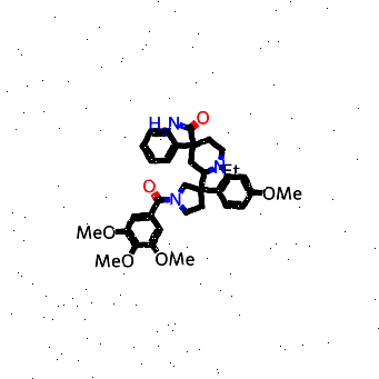 CCN1CCC(C(N)=O)(c2ccccc2)CC1C1(c2ccc(OC)cc2)CCN(C(=O)c2cc(OC)c(OC)c(OC)c2)C1